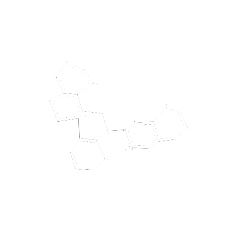 C1=CC2=C(CC1)C(c1ncc3ccccc3n1)Cc1c2ccc2ccccc12